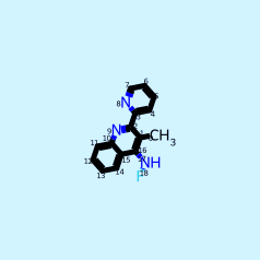 Cc1c(-c2ccccn2)nc2ccccc2c1NF